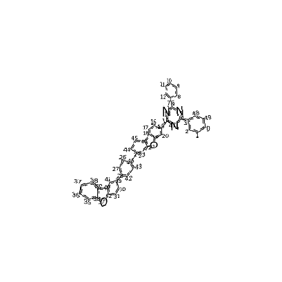 c1ccc(-c2nc(-c3ccccc3)nc(-c3ccc4c(c3)oc3cc(-c5ccc(-c6ccc7oc8ccccc8c7c6)cc5)ccc34)n2)cc1